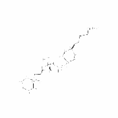 CCCCCCCCCCCCCC=C1CCC(OC(C)OP(=O)(O)OCC[N+]2(C)CCCCC2)CC1